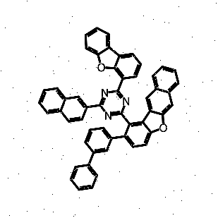 c1ccc(-c2cccc(-c3ccc4oc5cc6ccccc6cc5c4c3-c3nc(-c4ccc5ccccc5c4)nc(-c4cccc5c4oc4ccccc45)n3)c2)cc1